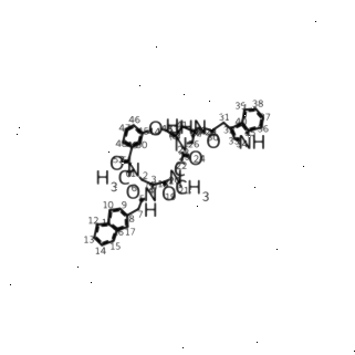 CN1C[C@H](NC(=O)Cc2ccc3ccccc3c2)C(=O)N(C)CC(=O)N2C[C@H](NC(=O)Cc3c[nH]c4ccccc34)C[C@H]2COc2cccc(c2)C1=O